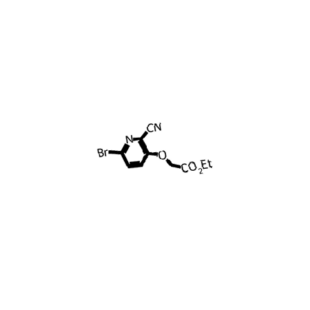 CCOC(=O)COc1ccc(Br)nc1C#N